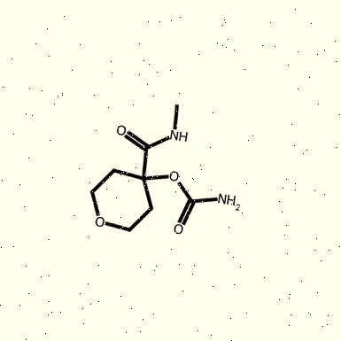 CNC(=O)C1(OC(N)=O)CCOCC1